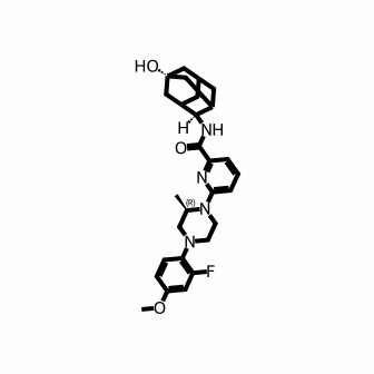 COc1ccc(N2CCN(c3cccc(C(=O)N[C@H]4C5CC6CC4C[C@](O)(C6)C5)n3)[C@H](C)C2)c(F)c1